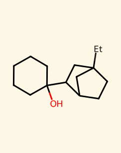 CCC12CCC(C1)C(C1(O)CCCCC1)C2